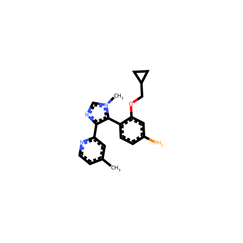 Cc1ccnc(-c2ncn(C)c2-c2ccc(P)cc2OCC2CC2)c1